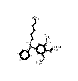 CCCCCCOP(c1ccccc1)c1cc(OC)c(C=O)c(OC)c1.[LiH]